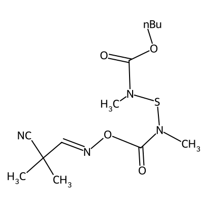 CCCCOC(=O)N(C)SN(C)C(=O)ON=CC(C)(C)C#N